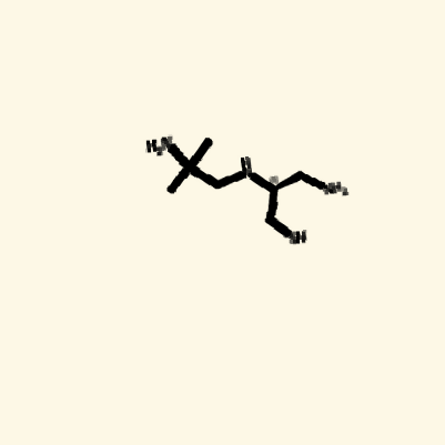 CC(C)(N)CN[C@@H](CN)CS